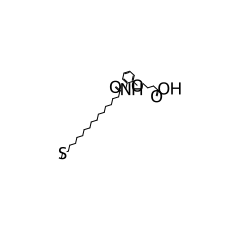 CSCCCCCCCCCCCCCCCC(=O)Nc1ccccc1OCCCC(=O)O